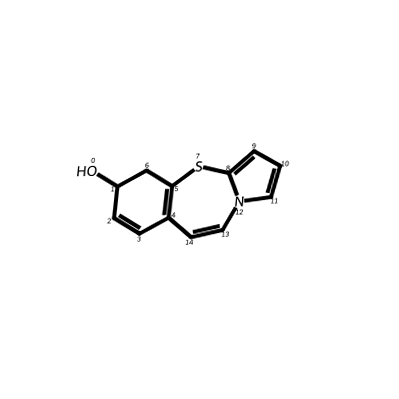 OC1C=CC2=C(C1)Sc1cccn1C=C2